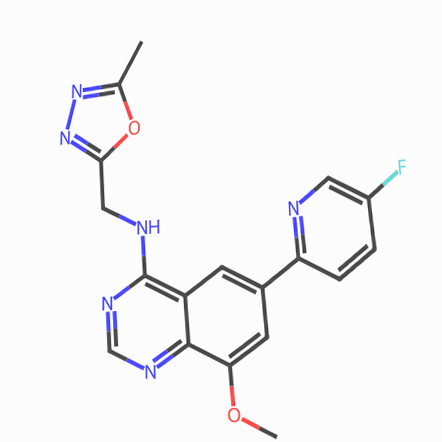 COc1cc(-c2ccc(F)cn2)cc2c(NCc3nnc(C)o3)ncnc12